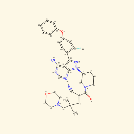 CC(C)(C=C(C#N)C(=O)N1CCC[C@H](n2nc(-c3ccc(Oc4ccccc4)cc3F)c3c(N)ncnc32)C1)CN1CCOCC1